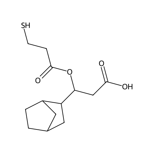 O=C(O)CC(OC(=O)CCS)C1CC2CCC1C2